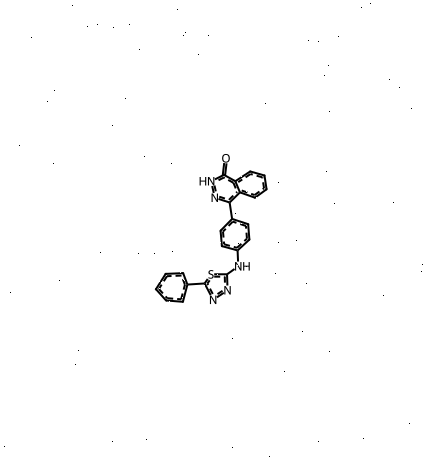 O=c1[nH]nc(-c2ccc(Nc3nnc(-c4ccccc4)s3)cc2)c2ccccc12